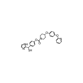 O=C(Oc1ccc(C(S)c2ncc[nH]2)cc1)N1CCC(Oc2ccc(Oc3ccccn3)cc2)CC1